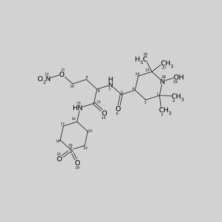 CC1(C)CC(C(=O)NC(CCO[N+](=O)[O-])C(=O)NC2CCS(=O)(=O)CC2)CC(C)(C)N1O